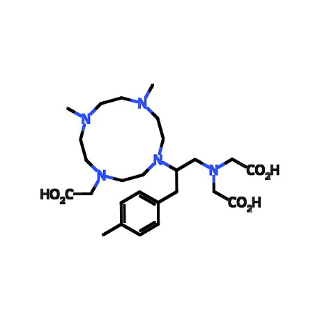 Cc1ccc(CC(CN(CC(=O)O)CC(=O)O)N2CCN(C)CCN(C)CCN(CC(=O)O)CC2)cc1